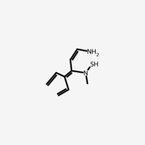 C=CC(C=C)=C(/C=C\N)N(C)S